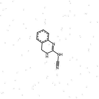 N#CNC1=Nc2ccccc2CN1